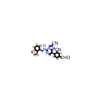 N#Cc1cn2c(NCc3c(F)ccc4c3CCO4)ncc(-c3ccc(C=O)cc3C#N)c2n1